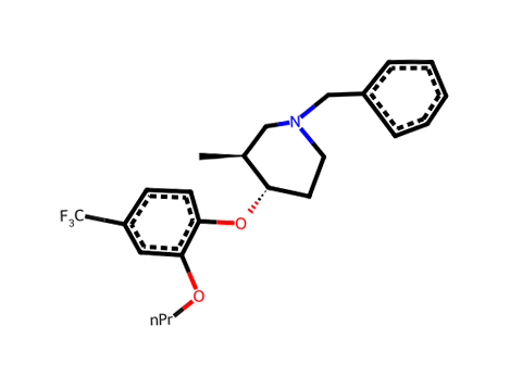 CCCOc1cc(C(F)(F)F)ccc1O[C@H]1CCN(Cc2ccccc2)C[C@@H]1C